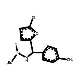 Cc1ccc(C(N[S+]([O-])C(C)(C)C)c2ccc(Cl)o2)cc1